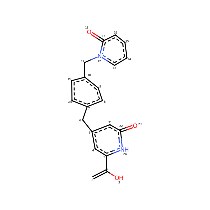 C=C(O)c1cc(Cc2ccc(Cn3ccccc3=O)cc2)cc(=O)[nH]1